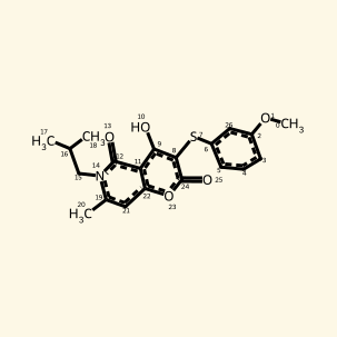 COc1cccc(Sc2c(O)c3c(=O)n(CC(C)C)c(C)cc3oc2=O)c1